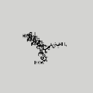 NCCOCC#Cc1cn([C@H]2CC[C@@H](CO)O2)c(=O)nc1N.O=P(O)(O)O.O=P(O)(O)O.O=P(O)(O)O